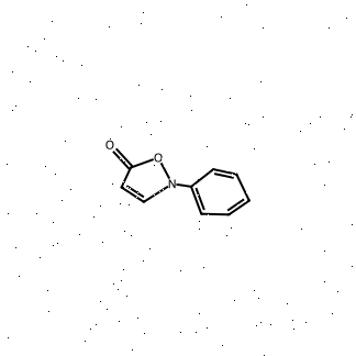 O=c1ccn(-c2ccccc2)o1